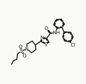 CCCCS(=O)(=O)N1CCC(c2nc(C(=O)Nc3ccccc3-c3ccc(Cl)cc3)cs2)CC1